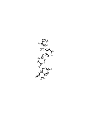 Cc1cc(OC2CCN(Cc3ccccc3C(=O)NC(C)C(=O)O)CC2)c2cc(F)ccc2n1